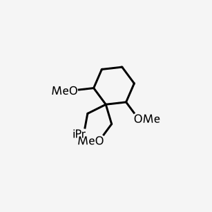 COCC1(CC(C)C)C(OC)CCCC1OC